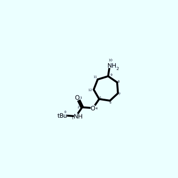 CC(C)(C)NC(=O)OC1CCCC(N)CC1